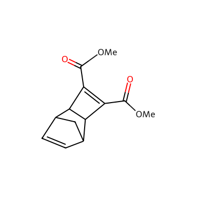 COC(=O)C1=C(C(=O)OC)C2C3C=CC(C3)C12